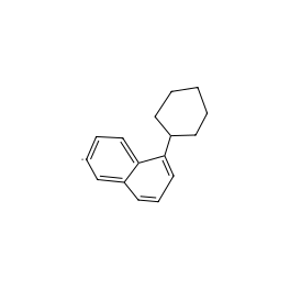 [c]1ccc2c(C3CCCCC3)cccc2c1